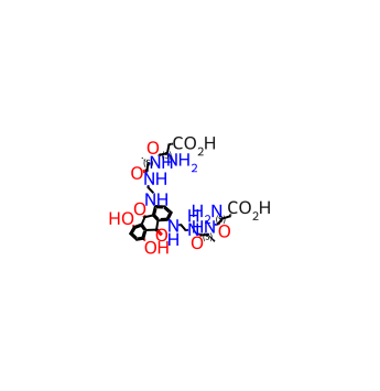 C[C@H](NC(=O)[C@@H](N)CC(=O)O)C(=O)NCCNc1ccc(NCCNC(=O)[C@H](C)NC(=O)[C@@H](N)CC(=O)O)c2c1C(=O)c1c(O)ccc(O)c1C2=O